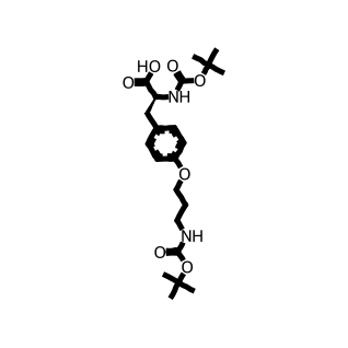 CC(C)(C)OC(=O)NCCCOc1ccc(C[C@H](NC(=O)OC(C)(C)C)C(=O)O)cc1